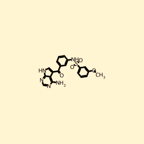 COc1cccc(S(=O)(=O)Nc2cccc(C(=O)c3c[nH]c4ncnc(N)c34)c2)c1